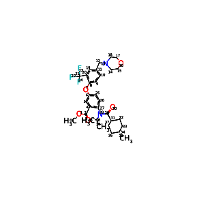 COC(=O)c1cc(Oc2ccc(CN3CCOCC3)cc2C(F)(F)F)ccc1N(C(=O)[C@H]1CC[C@H](C)CC1)C(C)C